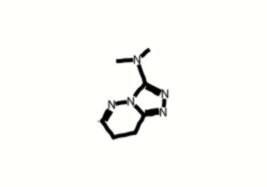 CN(C)c1nnc2n1N=[C]CC2